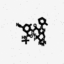 Cc1ccccc1-n1nc(Cn2nnnc2C(F)(F)F)cc1C(=O)Nc1c(C)cc(C#N)cc1C(=O)NC(C)(C)C